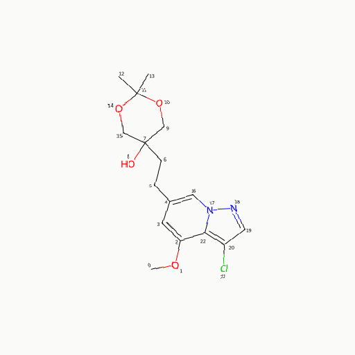 COc1cc(CCC2(O)COC(C)(C)OC2)cn2ncc(Cl)c12